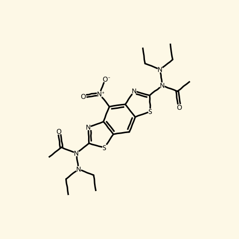 CCN(CC)N(C(C)=O)c1nc2c([N+](=O)[O-])c3nc(N(C(C)=O)N(CC)CC)sc3cc2s1